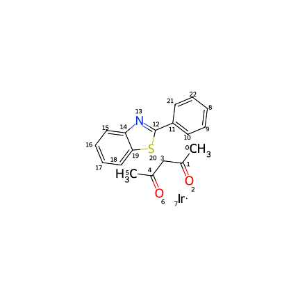 CC(=O)CC(C)=O.[Ir].c1ccc(-c2nc3ccccc3s2)cc1